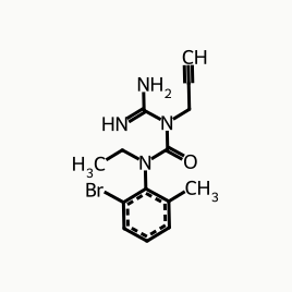 C#CCN(C(=N)N)C(=O)N(CC)c1c(C)cccc1Br